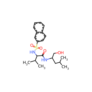 CC(C)CC(CO)NC(=O)C(NS(=O)(=O)c1ccc2ccccc2c1)C(C)C